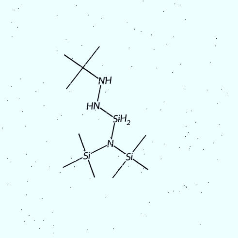 CC(C)(C)NN[SiH2]N([Si](C)(C)C)[Si](C)(C)C